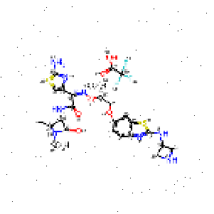 C[C@H]1[C@H](NC(=O)/C(=N\O[C@@H](COc2ccc3nc(NC4CNC4)sc3c2)C(=O)O)c2csc(N)n2)C(=O)N1S(=O)(=O)O.O=C(O)C(F)(F)F